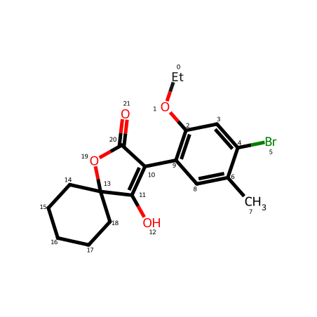 CCOc1cc(Br)c(C)cc1C1=C(O)C2(CCCCC2)OC1=O